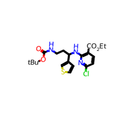 CCOC(=O)c1ccc(Cl)nc1NC(CCNC(=O)OC(C)(C)C)c1ccsc1